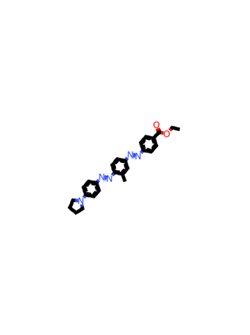 CCOC(=O)c1ccc(/N=N/c2ccc(/N=N/c3ccc(N4CCCC4)cc3)c(C)c2)cc1